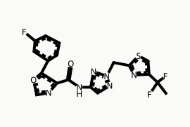 CC(F)(F)c1csc(Cn2ncc(NC(=O)c3ncoc3-c3cccc(F)c3)n2)n1